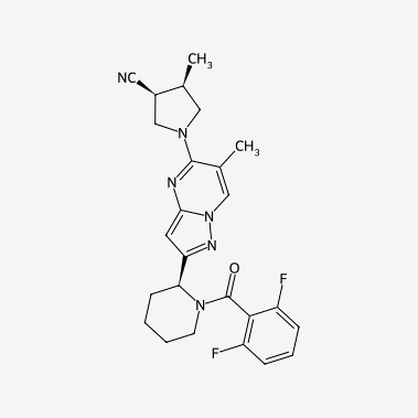 Cc1cn2nc([C@@H]3CCCCN3C(=O)c3c(F)cccc3F)cc2nc1N1C[C@@H](C#N)[C@@H](C)C1